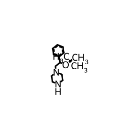 CC(C)(C)OC(CN1CCNCC1)c1ccccc1